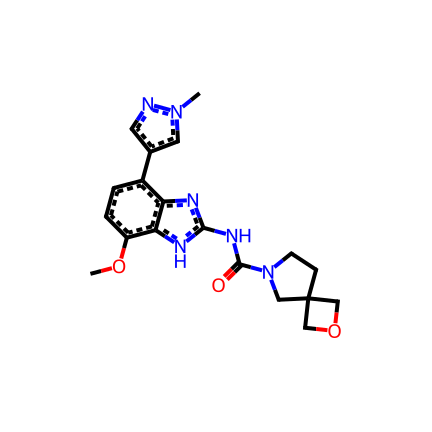 COc1ccc(-c2cnn(C)c2)c2nc(NC(=O)N3CCC4(COC4)C3)[nH]c12